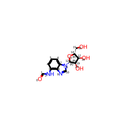 O=CNc1cccc2c1ncn2[C@@H]1O[C@H](CO)[C@@H](O)[C@H]1O